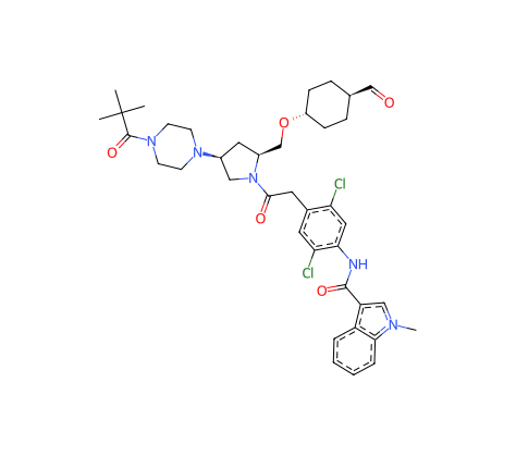 Cn1cc(C(=O)Nc2cc(Cl)c(CC(=O)N3C[C@@H](N4CCN(C(=O)C(C)(C)C)CC4)C[C@H]3CO[C@H]3CC[C@H](C=O)CC3)cc2Cl)c2ccccc21